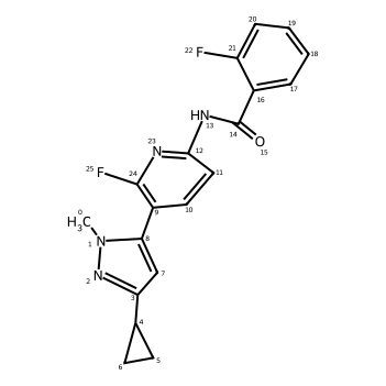 Cn1nc(C2CC2)cc1-c1ccc(NC(=O)c2ccccc2F)nc1F